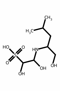 CC(C)CC(CO)NC(O)C(O)S(=O)(=O)O